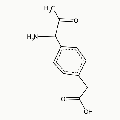 CC(=O)C(N)c1ccc(CC(=O)O)cc1